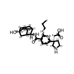 CCCSc1nc([C@@]2(CC(=O)O)CCNC2)ccc1C(=O)N[C@H]1C2CC3CC1C[C@@](O)(C3)C2